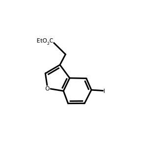 CCOC(=O)Cc1coc2ccc(I)cc12